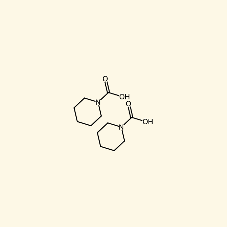 O=C(O)N1CCCCC1.O=C(O)N1CCCCC1